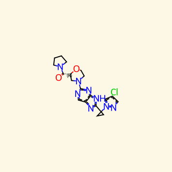 O=C([C@H]1CN(c2ncc3nc(C4(n5cc(Cl)cn5)CC4)[nH]c3n2)CCO1)N1CCCC1